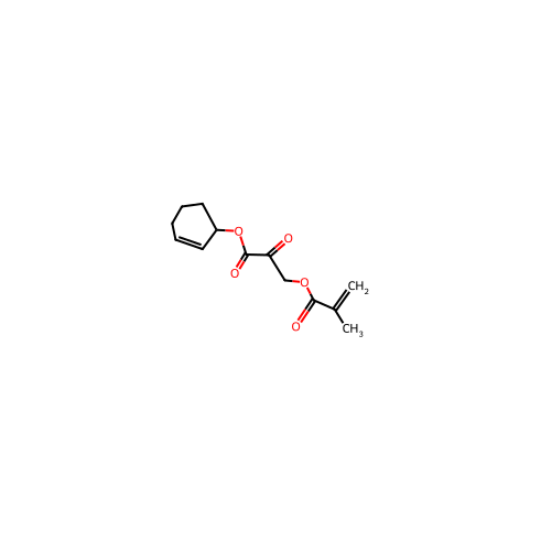 C=C(C)C(=O)OCC(=O)C(=O)OC1C=CCCC1